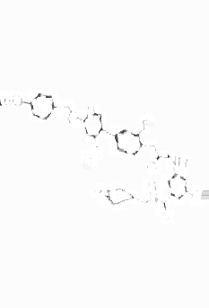 CCOc1cc(OCc2ccc(OC)cc2)ncc1-c1ccc(CC(=O)Nc2cc(C(=O)NCC3CN(C)C3)cc(C(F)(F)F)c2)c(F)c1